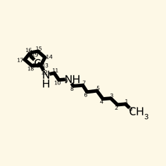 CCCCCCCCCNCCNC12CCC(CC1)CC2